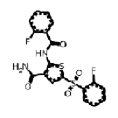 NC(=O)c1cc(S(=O)(=O)c2ccccc2F)sc1NC(=O)c1ccccc1F